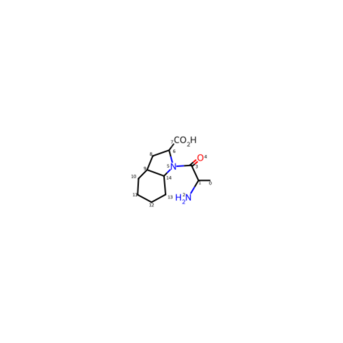 CC(N)C(=O)N1C(C(=O)O)CC2CCCCC21